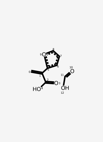 C=C(C(=O)O)c1ccco1.O=CO